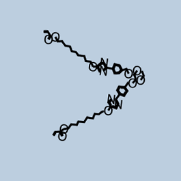 C=CC(=O)OCCCCCCCCCCOc1cnc(-c2ccc(COC3OCCOC3OCc3ccc(-c4ncc(OCCCCCCCCCCOC(=O)C=C)cn4)cc3)cc2)nc1